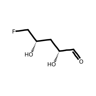 O=C[C@H](O)C[C@H](O)CF